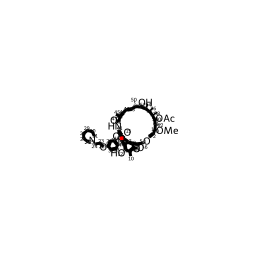 CO[C@H]1/C=C/O[C@@]2(C)Oc3c(C)c(O)c4c(=O)c(c5oc6cc(OCCN7CCCCCC7)ccc6nc-5c4c3C2=O)NC(=O)/C(C)=C\C=C\[C@H](C)[C@H](O)[C@@H](C)[C@@H](C)[C@@H](C)[C@H](OC(C)=O)[C@@H]1C